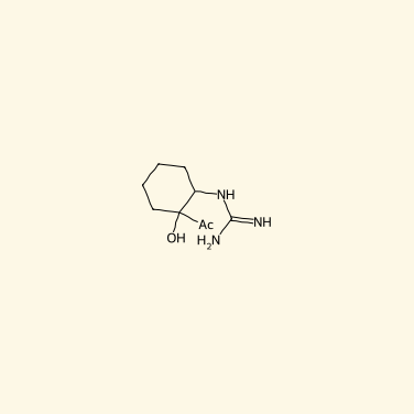 CC(=O)C1(O)CCCCC1NC(=N)N